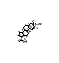 CO[C@]1(O)C[C@@H]2CC[C@@H]3[C@H](CC[C@]4(C)[C@@H](C(C)O)CC[C@@H]34)[C@H]2C[C@H]1C